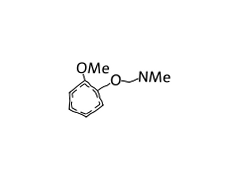 CNCOc1ccccc1OC